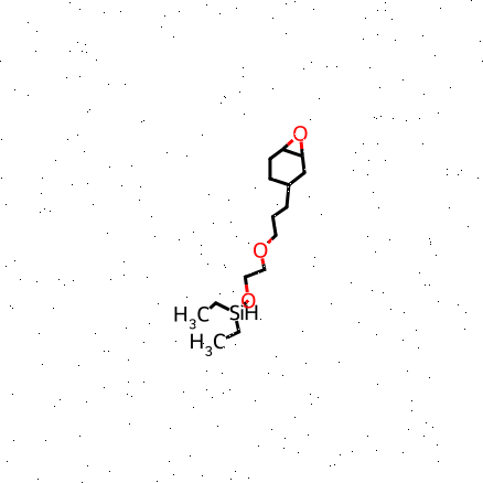 CC[SiH](CC)OCCOCCCC1CCC2OC2C1